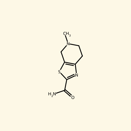 CN1CCc2nc(C(N)=O)sc2C1